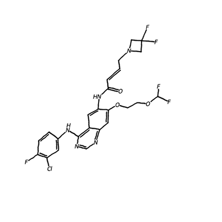 O=C(/C=C/CN1CC(F)(F)C1)Nc1cc2c(Nc3ccc(F)c(Cl)c3)ncnc2cc1OCCOC(F)F